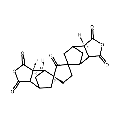 O=C1OC(=O)[C@@H]2C3CC(C12)C1(CC[C@]2(CC4C[C@H]2[C@@H]2C(=O)OC(=O)C42)C1=O)C3